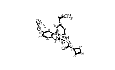 C=CC1CC[C@@]2(O)[C@H]3Cc4ccc(OC)cc4[C@@]2(CCN3OC(=O)C2CCC2)C1